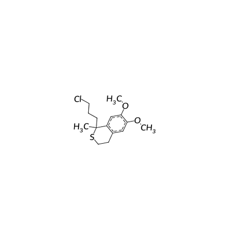 COc1cc2c(cc1OC)C(C)(CCCCl)SCC2